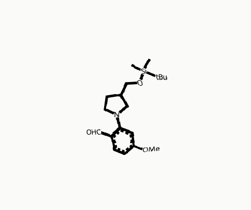 COc1ccc(C=O)c(N2CCC(CO[Si](C)(C)C(C)(C)C)C2)c1